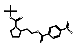 CC(C)(C)OC(=O)N1CCCC1CCOC(=O)c1ccc([N+](=O)[O-])cc1